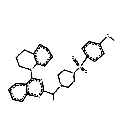 COc1ccc(S(=O)(=O)N2CCN(C(C)c3nc(N4CCCc5ccccc54)c4ccccc4n3)CC2)cc1